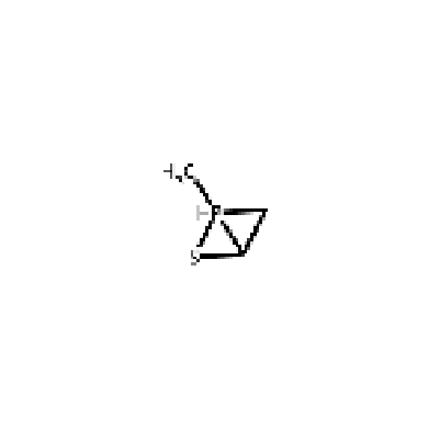 C[PH]12CC1S2